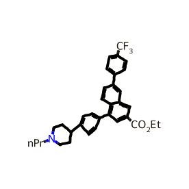 CCCN1CCC(c2ccc(-c3cc(C(=O)OCC)cc4cc(-c5ccc(C(F)(F)F)cc5)ccc34)cc2)CC1